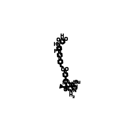 CC(C)(C)n1nc(-c2noc(C3CC3)c2-c2ncc(C3CCN(C(=O)OCCC4CCC(N5CCN(c6ccc(NC7CCC(=O)NC7=O)cc6F)CC5)CC4)CC3)cn2)c2c(N)ncnc21